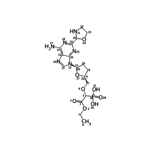 CCOC(=O)C(OC[C@@H]1CC[C@H](n2cnc3c(N)nc(C4NCCO4)nc32)O1)P(=O)(O)O